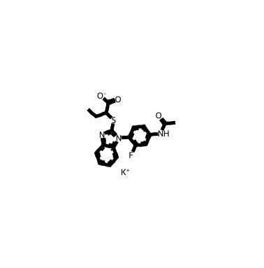 CCC(Sc1nc2ccccc2n1-c1ccc(NC(C)=O)cc1F)C(=O)[O-].[K+]